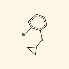 Brc1ccccc1SC1CC1